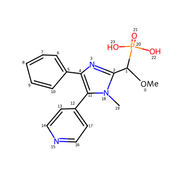 COC(c1nc(-c2ccccc2)c(-c2ccncc2)n1C)P(=O)(O)O